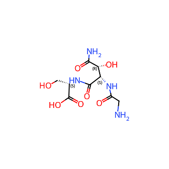 NCC(=O)N[C@H](C(=O)N[C@@H](CO)C(=O)O)[C@@H](O)C(N)=O